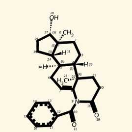 C[C@]12CC[C@H]3[C@@H](CC=C4N(C(=O)c5ccccc5)C(=O)CC[C@@]43C)[C@@H]1CC[C@@H]2O